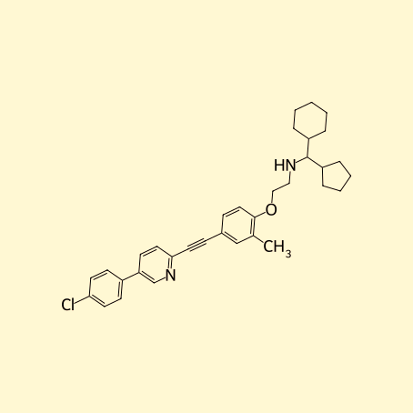 Cc1cc(C#Cc2ccc(-c3ccc(Cl)cc3)cn2)ccc1OCCNC(C1CCCCC1)C1CCCC1